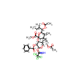 CC[C@@H](C)[C@@H](OC(C)=O)C1O[C@@](OC2C(OC(=O)c3ccccc3)C(OC(=N)C(Cl)(Cl)Cl)O[C@@H](COC(C)=O)[C@@H]2C)(C(=O)OC)C[C@@H](C)[C@H]1C